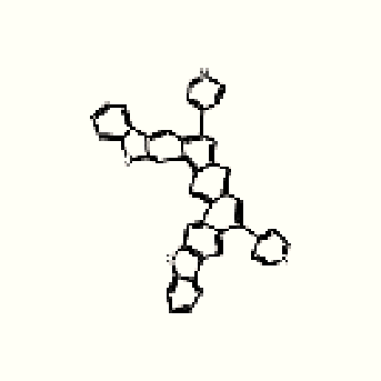 c1ccc2c(c1)oc1cc3c(cc12)c(-c1ccncc1)cc1cc2cc(-c4ccncc4)c4cc5c(cc4c2cc13)oc1ccccc15